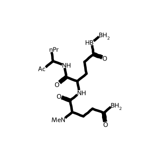 BBC(=O)CCC(NC(=O)C(CCC(B)=O)NC)C(=O)NC(CCC)C(C)=O